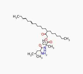 CCC=CCC=CCCCCCC(CCCCCCC)C(=O)COC(=O)C(C)(C)NC(=O)C(N)CC(C)C